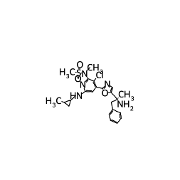 CC1CC1CNc1cc(-c2ncc([C@@](C)(N)Cc3ccccc3)o2)c(Cl)c(N(C)S(C)(=O)=O)n1